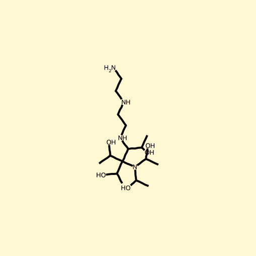 CC(O)C(NCCNCCN)C(C(C)O)(C(C)O)N(C(C)O)C(C)O